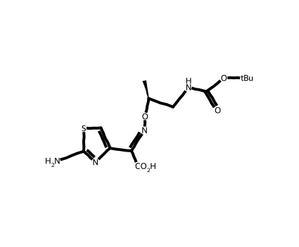 C[C@@H](CNC(=O)OC(C)(C)C)O/N=C(/C(=O)O)c1csc(N)n1